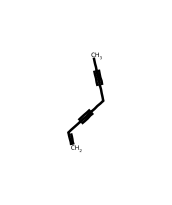 C=CC#CCC#CC